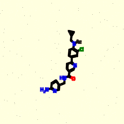 CC(=O)N(CC1CC1)c1ccc(-c2ccc(C(=O)NCc3ccc(N)nc3)cn2)cc1Cl